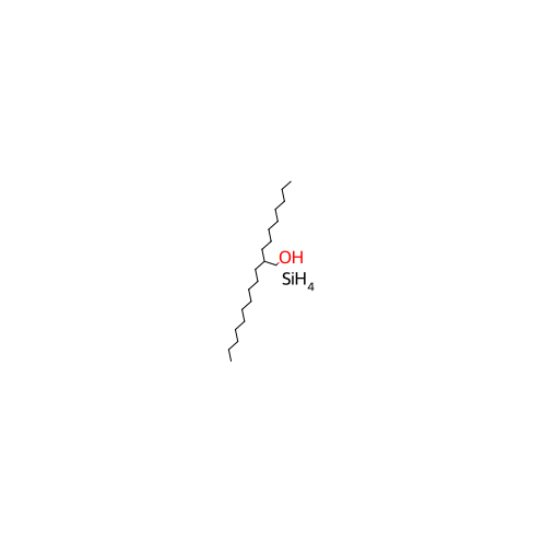 CCCCCCCCCCC(CO)CCCCCCCC.[SiH4]